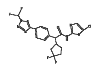 O=C(Nc1ncc(Cl)s1)C(c1ccc(-c2nnn(C(F)F)n2)cc1)C1CCC(F)(F)C1